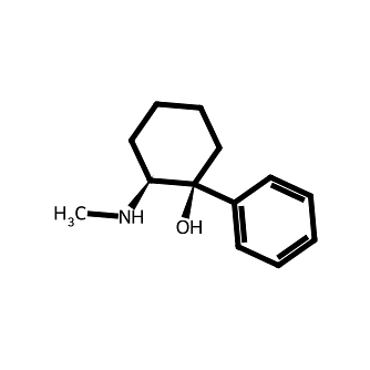 CN[C@H]1CCCC[C@]1(O)c1ccccc1